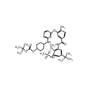 COc1c(NC(=O)c2ccc(C)c(Oc3ccnc(NC4CCN(OC(=O)OC(C)(C)C)CC4)n3)c2)cc(C(C)(C)C)cc1NS(C)(=O)=O